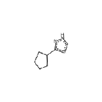 [c]1c[nH]nc1C1CCCC1